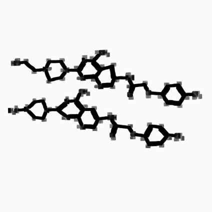 Cc1nc(N2CCN(C)CC2)nc2ncc(NC(=O)COc3ccc(C(F)(F)F)cc3)cc12.Cc1nc(N2CCN(CCO)CC2)nc2ncc(NC(=O)COc3ccc(C(F)(F)F)cc3)cc12